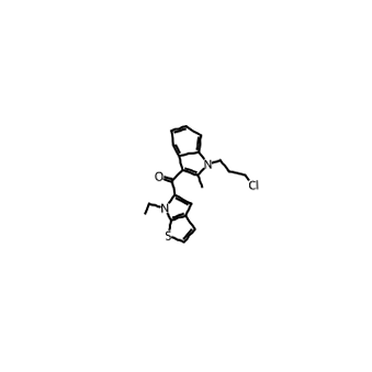 CCn1c(C(=O)c2c(C)n(CCCCl)c3ccccc23)cc2ccsc21